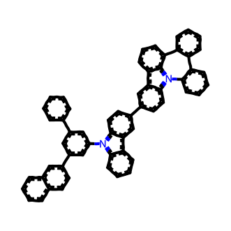 c1ccc(-c2cc(-c3ccc4ccccc4c3)cc(-n3c4ccccc4c4cc(-c5ccc6c(c5)c5cccc7c5n6-c5ccccc5-c5ccccc5-7)ccc43)c2)cc1